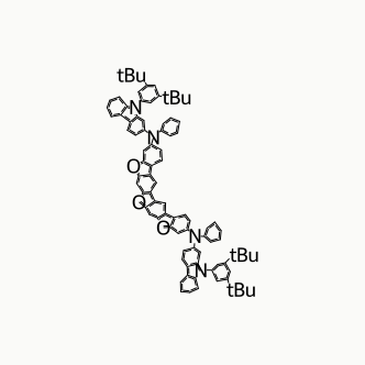 CC(C)(C)c1cc(-n2c3ccccc3c3ccc(N(c4ccccc4)c4ccc5c(c4)oc4cc6oc7cc8oc9cc(N(c%10ccccc%10)c%10ccc%11c%12ccccc%12n(-c%12cc(C(C)(C)C)cc(C(C)(C)C)c%12)c%11c%10)ccc9c8cc7c6cc45)cc32)cc(C(C)(C)C)c1